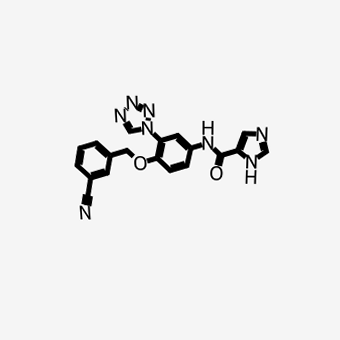 N#Cc1cccc(COc2ccc(NC(=O)c3cnc[nH]3)cc2-n2cnnn2)c1